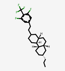 CCC[C@@H]1CC[C@H]2[C@H](CC[C@H]3CC(CCc4cc(F)c(C(F)(F)F)c(F)c4)CC[C@@H]32)C1